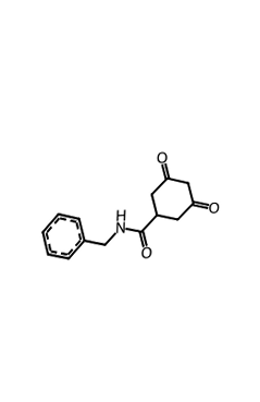 O=C1CC(=O)CC(C(=O)NCc2ccccc2)C1